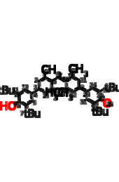 Cc1cc(-c2cc(C(C)(C)C)c(O)c(C(C)(C)C)c2)cc(C)c1C=c1c(C)cc(=C2C=C(C(C)(C)C)C(=O)C(C(C)(C)C)=C2)cc1C